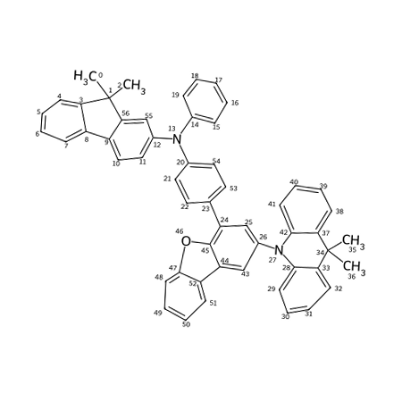 CC1(C)c2ccccc2-c2ccc(N(c3ccccc3)c3ccc(-c4cc(N5c6ccccc6C(C)(C)c6ccccc65)cc5c4oc4ccccc45)cc3)cc21